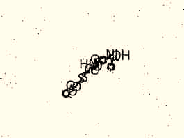 C/C(O)=C(/C(=N)c1ccc(S(=O)(=O)NC(=O)OCCSSCCOC(=O)O[C@@H]2CCCC[C@@H]2C)cc1)c1ccccc1